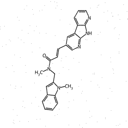 CN(Cc1cc2ccccc2n1C)C(=O)/C=C/c1cnc2[nH]c3ncccc3c2c1